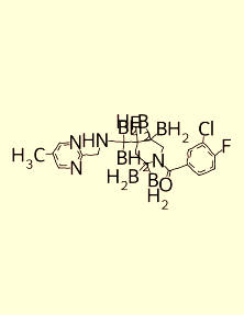 BC1(B)CC(F)(C(B)(B)NCc2ncc(C)cn2)C(B)(B)CN1C(=O)c1ccc(F)c(Cl)c1